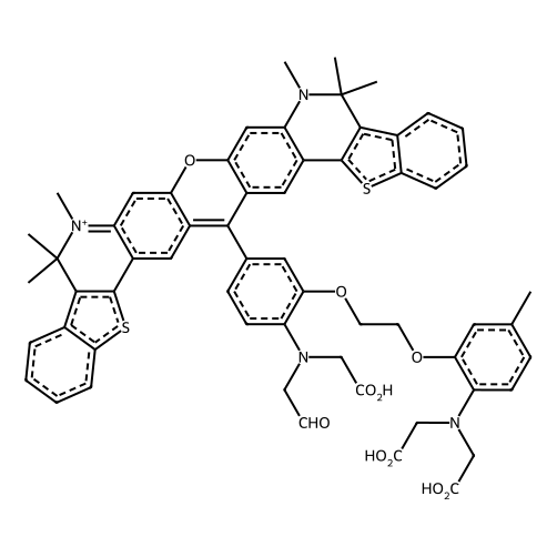 Cc1ccc(N(CC(=O)O)CC(=O)O)c(OCCOc2cc(C3=c4cc5c(cc4Oc4cc6c(cc43)-c3sc4ccccc4c3C(C)(C)N6C)=[N+](C)C(C)(C)c3c-5sc4ccccc34)ccc2N(CC=O)CC(=O)O)c1